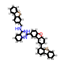 N=C(NC(NCc1ccc2c(c1)sc1ccccc12)c1ccccc1)c1ccc2c(c1)C1C=C(c3cccc4c3sc3ccccc34)C=CC1O2